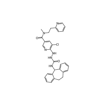 CN(CCc1ccccn1)C(=O)c1cnc(NNC(=O)NC2c3ccccc3CCc3ccccc32)c(Cl)c1